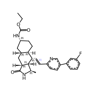 CCOC(=O)N[C@@H]1CC[C@@H]2[C@@H](C1)C[C@H]1C(=O)N[C@H](C)[C@H]1[C@H]2/C=C/c1ccc(-c2cccc(F)c2)cn1